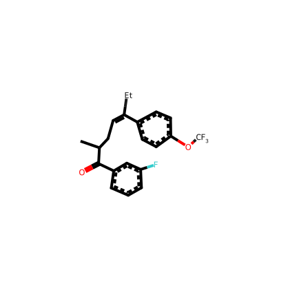 CCC(=CCC(C)C(=O)c1cccc(F)c1)c1ccc(OC(F)(F)F)cc1